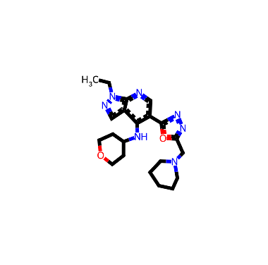 CCn1ncc2c(NC3CCOCC3)c(-c3nnc(CN4CCCCC4)o3)cnc21